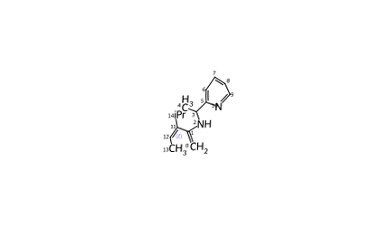 C=C(NC(C)c1ccccn1)/C(=C\C)C(C)C